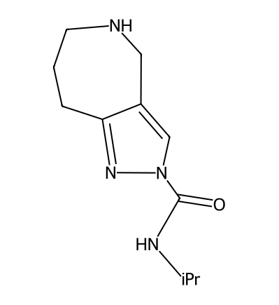 CC(C)NC(=O)n1cc2c(n1)CCCNC2